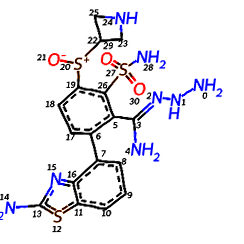 NN/N=C(\N)c1c(-c2cccc3sc(N)nc23)ccc([S+]([O-])C2CNC2)c1S(N)(=O)=O